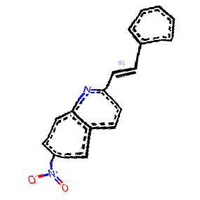 O=[N+]([O-])c1ccc2nc(/C=C/c3ccccc3)ccc2c1